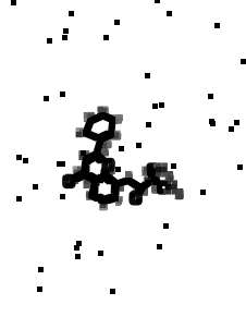 CN(C)C(=O)Cc1cccc2c(=O)cc(C3=CCCCC3)oc12